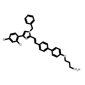 O=C(O)CCCOc1ccc(-c2ccc(C=Cc3nc(-c4ccc(Cl)cc4Cl)cn3Cc3ccccc3)cc2)cc1